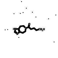 O=C(O)CCCC(=O)N1CCc2nc[nH]c2CC1